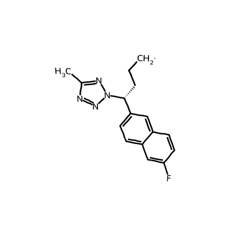 [CH2]CC[C@H](c1ccc2cc(F)ccc2c1)n1nnc(C)n1